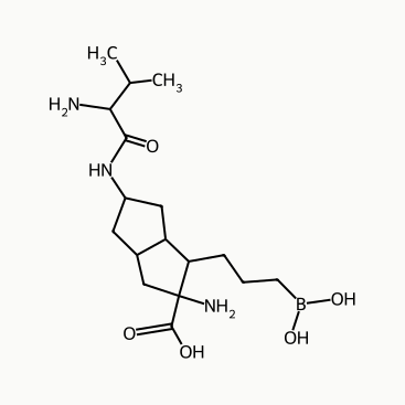 CC(C)C(N)C(=O)NC1CC2CC(N)(C(=O)O)C(CCCB(O)O)C2C1